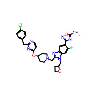 Fc1cc2c(cc1-c1noc(C(F)(F)F)n1)nc(CN1CCC(Oc3ccnc(Cc4ccc(Cl)cc4)n3)CC1)n2CC1CCO1